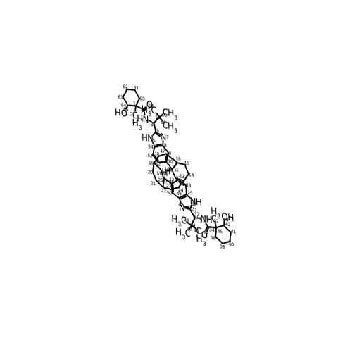 CC1(C(=O)N[C@H](c2nc3cc([C@@H]4CC5CCC4CCC4CCC(CC5)[C@H](c5ccc6[nH]c([C@@H](NC(=O)C7(C)CCCCC7O)C(C)(C)C)nc6c5)C4)ccc3[nH]2)C(C)(C)C)CCCCC1O